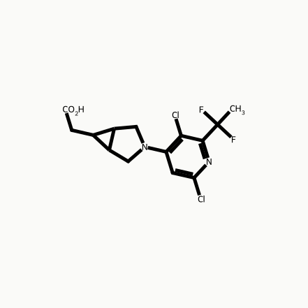 CC(F)(F)c1nc(Cl)cc(N2CC3C(CC(=O)O)C3C2)c1Cl